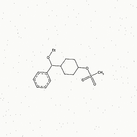 CCOC(c1ccccc1)C1CCC(OS(C)(=O)=O)CC1